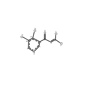 O=C(C=C(Cl)Cl)c1cncc(Cl)c1Cl